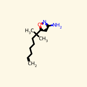 C=CCCCCC(C)(C)c1cc(N)no1